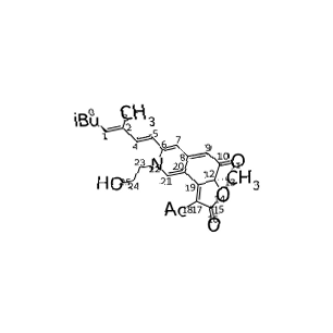 CC[C@H](C)/C=C(C)/C=C/C1=CC2=CC(=O)[C@@]3(C)OC(=O)C(C(C)=O)=C3C2=CN1CCO